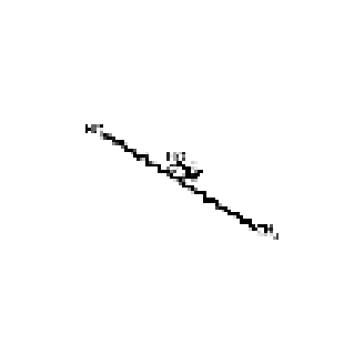 CCCCCCCCCCCCCCCCCCCCCCCCCCCCO.O=C(O)c1ccco1